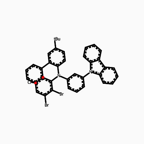 CC(C)(C)c1ccc(N(c2cccc(-n3c4ccccc4c4ccccc43)c2)c2cc(Cl)cc(Br)c2Br)c(-c2ccccc2)c1